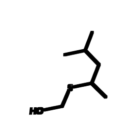 CC(C)CC(C)SCO